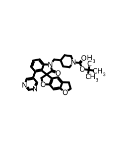 CC(C)(C)OC(=O)N1CCC(CN2C(=O)C3(COc4cc5c(cc43)CCO5)c3c(-c4cncnc4)cccc32)CC1